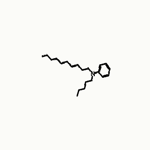 CCCCCCCCCCN(CCCCC)c1ccccc1